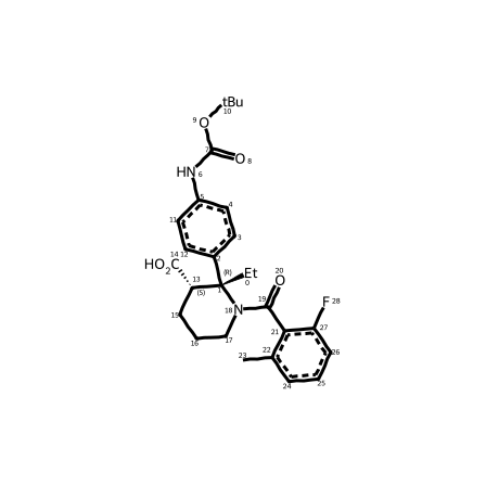 CC[C@]1(c2ccc(NC(=O)OC(C)(C)C)cc2)[C@@H](C(=O)O)CCCN1C(=O)c1c(C)cccc1F